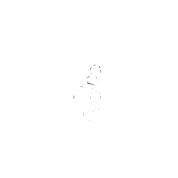 Cc1ccc2nc(N3CCC(NC4CCOCC4)CC3)c(C(=O)OC(C)C)cc2c1